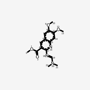 COC(=O)c1cc2cc(OC)c(OC)cc2nc1/N=C/N(C)C